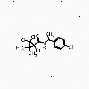 CCC1(C(=O)NC(C)c2ccc(Cl)cc2)C(C)(C)C1(Cl)Cl